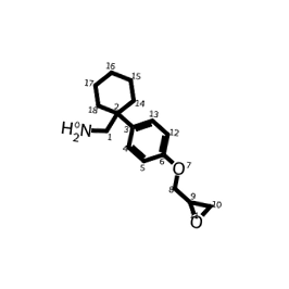 NCC1(c2ccc(OCC3CO3)cc2)CCCCC1